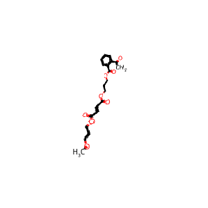 COCCCOC(=O)/C=C/C(=O)OCCCOC(=O)c1ccccc1C(C)=O